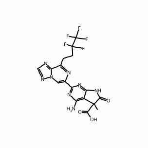 CC1(C(=O)O)C(=O)Nc2nc(-c3cn4ncnc4c(CCC(F)(F)C(F)(F)F)n3)nc(N)c21